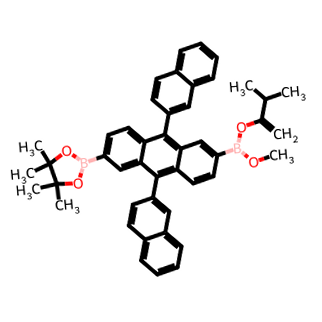 C=C(OB(OC)c1ccc2c(-c3ccc4ccccc4c3)c3cc(B4OC(C)(C)C(C)(C)O4)ccc3c(-c3ccc4ccccc4c3)c2c1)C(C)C